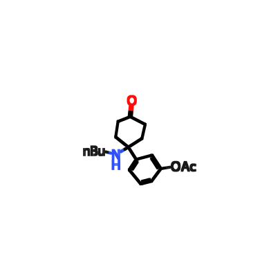 CCCCNC1(c2cccc(OC(C)=O)c2)CCC(=O)CC1